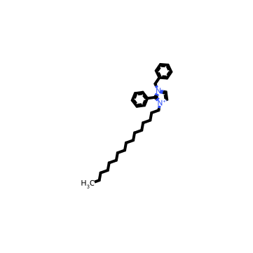 CCCCCCCCCCCCCCCC[n+]1ccn(Cc2ccccc2)c1-c1ccccc1